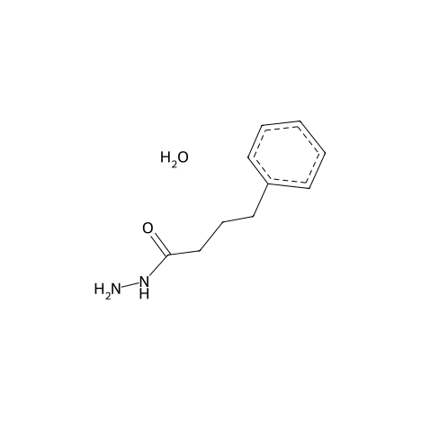 NNC(=O)CCCc1ccccc1.O